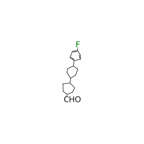 O=CC1CCC(C2CCC(c3ccc(F)cc3)CC2)CC1